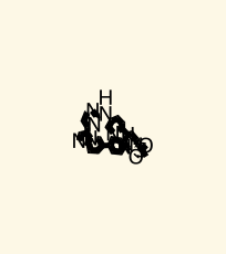 CS(=O)(=O)N1CCN(c2ccc(Nc3nccc(-c4cnc5ccc(-c6ccncc6)cn45)n3)cn2)CC1